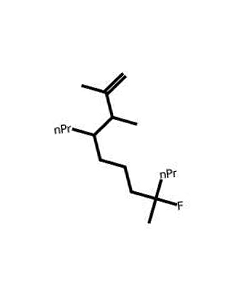 C=C(C)C(C)C(CCC)CCCC(C)(F)CCC